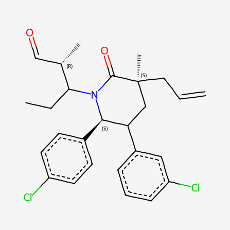 C=CC[C@@]1(C)CC(c2cccc(Cl)c2)[C@@H](c2ccc(Cl)cc2)N(C(CC)[C@@H](C)C=O)C1=O